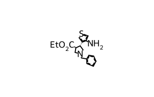 CCOC(=O)[C@@H]1CN(Cc2ccccc2)C[C@H]1c1cscc1N